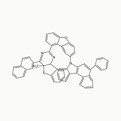 CC12Sc3ccccc3C1N=C(c1cccc3oc4ccc(-n5c6ccccc6c6c7ccccc7c(-c7ccccc7)cc65)cc4c13)N=C2c1ccc2ccccc2c1